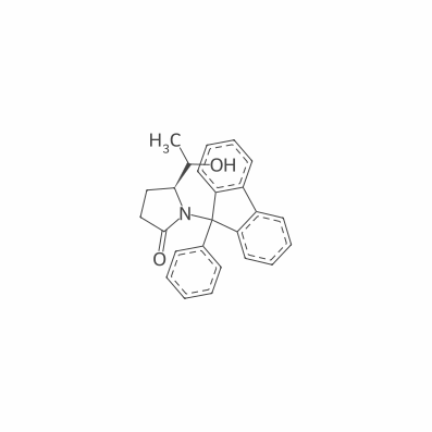 CC(O)[C@@H]1CCC(=O)N1C1(c2ccccc2)c2ccccc2-c2ccccc21